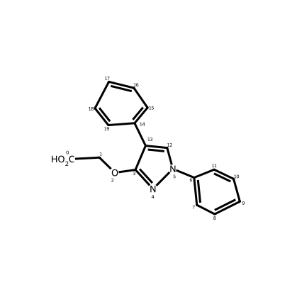 O=C(O)COc1nn(-c2ccccc2)cc1-c1ccccc1